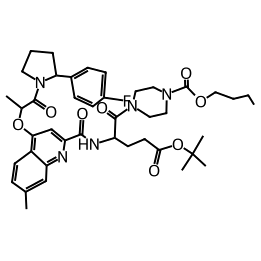 CCCCOC(=O)N1CCN(C(=O)C(CCC(=O)OC(C)(C)C)NC(=O)c2cc(OC(C)C(=O)N3CCCC3c3ccc(F)cc3)c3ccc(C)cc3n2)CC1